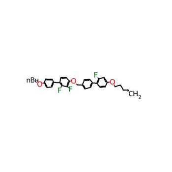 C=CCCCOc1ccc(-c2ccc(COc3ccc(-c4ccc(OCCCC)cc4)c(F)c3F)cc2)c(F)c1